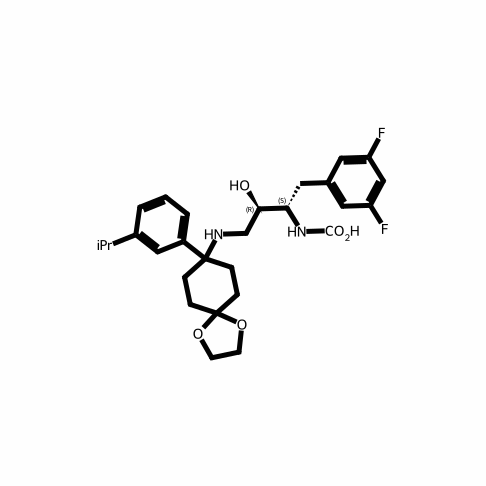 CC(C)c1cccc(C2(NC[C@@H](O)[C@H](Cc3cc(F)cc(F)c3)NC(=O)O)CCC3(CC2)OCCO3)c1